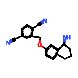 N#Cc1ccc(C#N)c(COc2ccc3c(c2)C(=N)CCC3)c1